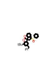 C=C(CC1(c2ccccc2)C(=O)Oc2c(C(C)(C)C)cc(CC(C)C)cc21)[S+]([O-])c1ccccc1